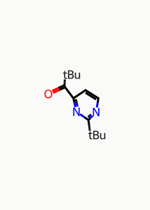 CC(C)(C)C(=O)c1ccnc(C(C)(C)C)n1